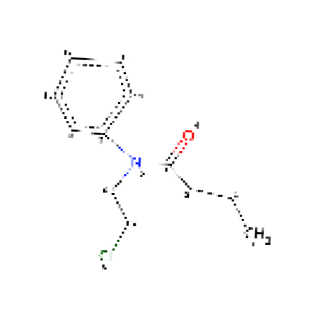 CCCC(=O)N(CCCl)c1ccccc1